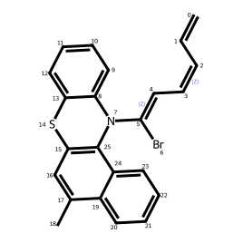 C=C/C=C\C=C(/Br)N1c2ccccc2Sc2cc(C)c3ccccc3c21